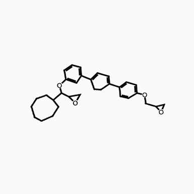 C1=C(c2ccc(OCC3CO3)cc2)CCC(c2cccc(OC(C3CCCCCCC3)C3CO3)c2)=C1